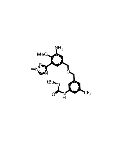 COc1c(N)cc(COCc2cc(NC(=O)OC(C)(C)C)cc(C(F)(F)F)c2)cc1-c1ncn(C)n1